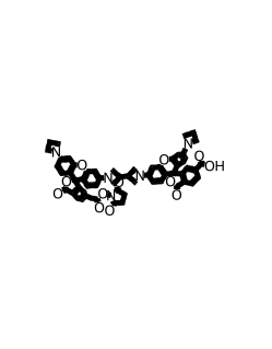 O=C(O)c1ccc2c(c1)C1(OC2=O)c2ccc(N3CCC3)cc2Oc2cc(N3CC(C4CN(c5ccc6c(c5)Oc5cc(N7CCC7)ccc5C65OC(=O)c6ccc(C(=O)ON7C(=O)CCC7=O)cc65)C4)C3)ccc21